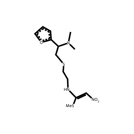 CSC(=C[N+](=O)[O-])NCCSCC(c1ccco1)N(C)C